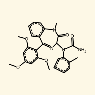 COc1cc(OC)c(C2=NC(N(C(N)=O)c3ccccc3C)C(=O)N(C)c3ccccc32)c(OC)c1